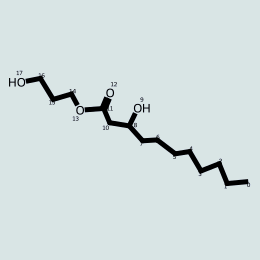 CCCCCCCCC(O)CC(=O)OCCCO